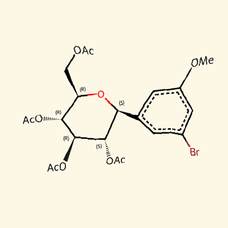 COc1cc(Br)cc([C@@H]2O[C@H](COC(C)=O)[C@@H](OC(C)=O)[C@H](OC(C)=O)[C@H]2OC(C)=O)c1